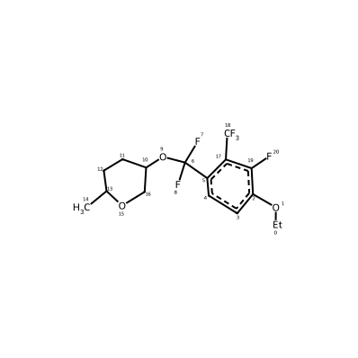 CCOc1ccc(C(F)(F)OC2CCC(C)OC2)c(C(F)(F)F)c1F